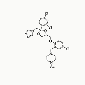 CC(=O)N1CCN(Cc2cc(Cl)ccc2OCC2COC(Cn3ccnc3)(c3ccc(Cl)cc3Cl)O2)CC1